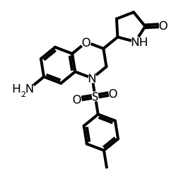 Cc1ccc(S(=O)(=O)N2CC(C3CCC(=O)N3)Oc3ccc(N)cc32)cc1